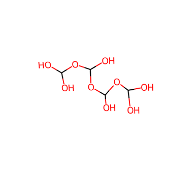 OC(O)OC(O)OC(O)OC(O)O